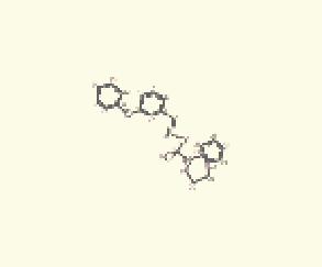 O=C(ON=Cc1cccc(Oc2ccccc2)c1)N1CCCc2ccccc21